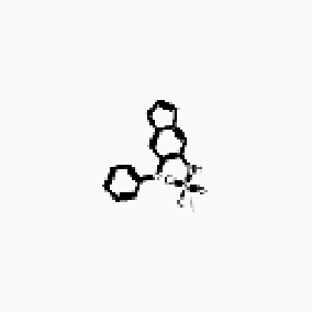 CS(=O)(=O)Nc1cc2c(cc1Oc1ccccc1)CC=C2